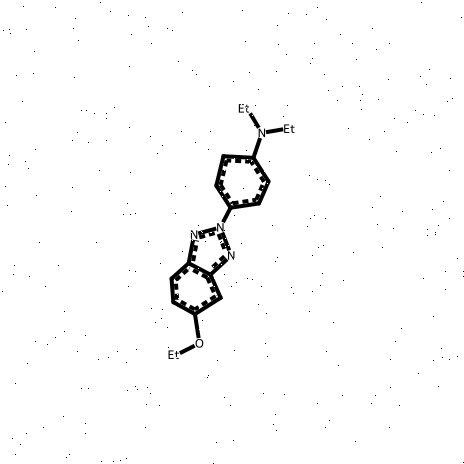 CCOc1ccc2nn(-c3ccc(N(CC)CC)cc3)nc2c1